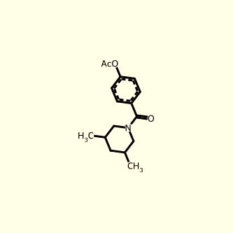 CC(=O)Oc1ccc(C(=O)N2CC(C)CC(C)C2)cc1